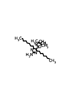 CCCCCCCCc1nc(N)nc(CCCCCCCC)c1B1OC(C)(C)C(C)(C)O1